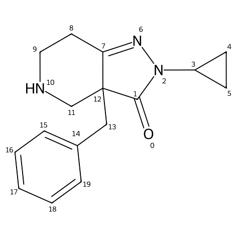 O=C1N(C2CC2)N=C2CCNCC12Cc1ccccc1